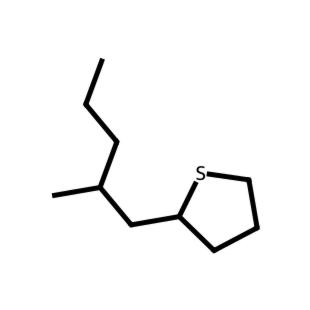 CCCC(C)CC1CCCS1